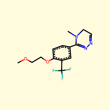 COCCOc1ccc(C2=NN=CCN2C)cc1C(F)(F)F